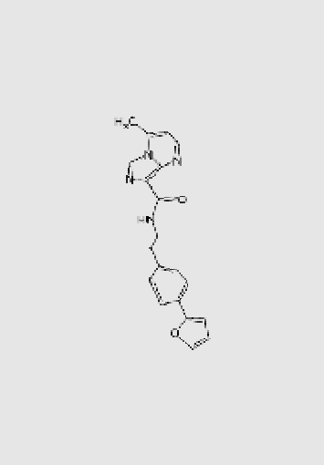 Cc1ccnc2c(C(=O)NCCc3ccc(-c4ccco4)cc3)ncn12